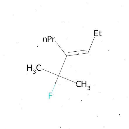 CC/C=C(\CCC)C(C)(C)F